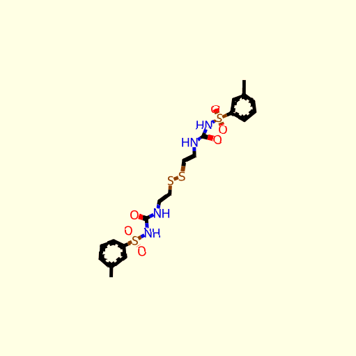 Cc1cccc(S(=O)(=O)NC(=O)NCCSSCCNC(=O)NS(=O)(=O)c2cccc(C)c2)c1